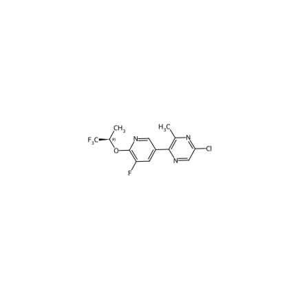 Cc1nc(Cl)cnc1-c1cnc(O[C@H](C)C(F)(F)F)c(F)c1